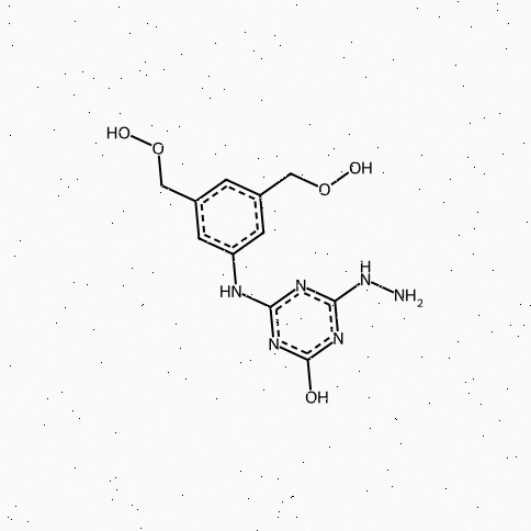 NNc1nc(O)nc(Nc2cc(COO)cc(COO)c2)n1